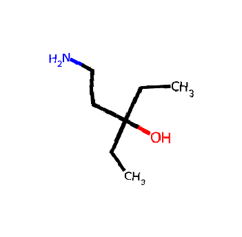 CCC(O)(CC)CCN